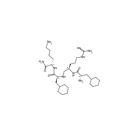 N=C(N)NCCC[C@H](CN[C@@H](CC1CCCCC1)C(=O)N[C@@H](CCCCN)C(N)=O)NC(=O)[C@@H](N)CC1CCCCC1